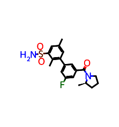 Cc1cc(-c2cc(F)cc(C(=O)N3CCC[C@H]3C)c2)c(C)c(S(N)(=O)=O)c1